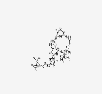 CC1(C)C[C@H]2CCCNc3cccc(n3)SNC(=O)c3ccc(-n4ccc(OCCC5C6(CC6)C56CC6)n4)nc3N1C2